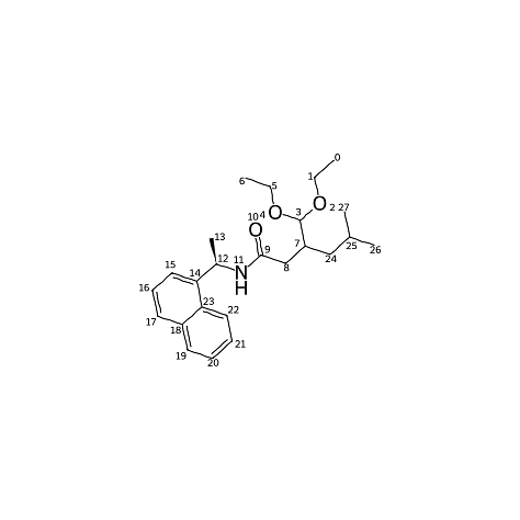 CCOC(OCC)C(CC(=O)N[C@H](C)c1cccc2ccccc12)CC(C)C